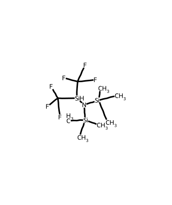 C[Si](C)(C)N([SiH](C(F)(F)F)C(F)(F)F)[Si](C)(C)C